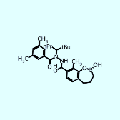 CCCC(N(NC(O)c1ccc2c(c1C)OB(O)CCC2)C(=O)c1cc(C)cc(C)c1)C(C)(C)C